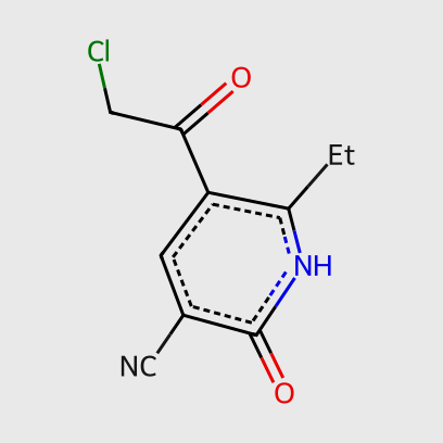 CCc1[nH]c(=O)c(C#N)cc1C(=O)CCl